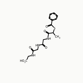 CC(SC(=O)c1ccccc1)C(=O)NCC(=O)NCC(=O)NCC(=O)O